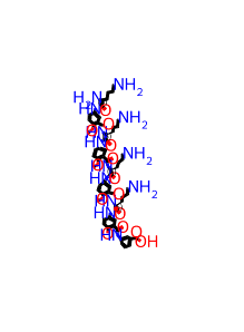 COc1ccc(NC(=O)[C@H](CCCCN)NC(=O)c2cc(NC(=O)[C@H](CCCCN)NC(=O)c3cc(NC(=O)[C@H](CCCCN)NC(=O)c4cc(NC(=O)[C@@H](N)CCCCN)ccc4OC)ccc3OC)ccc2OC)cc1C(=O)Nc1cccc(C(=O)O)c1